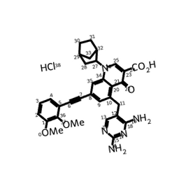 COc1cccc(C#Cc2cc(Cc3cnc(N)nc3N)c3c(=O)c(C(=O)O)cn(C4CC5CCC4C5)c3c2)c1OC.Cl